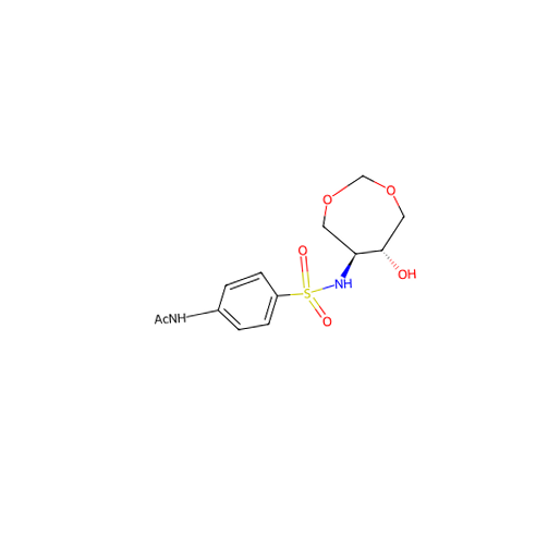 CC(=O)Nc1ccc(S(=O)(=O)N[C@H]2COCOC[C@@H]2O)cc1